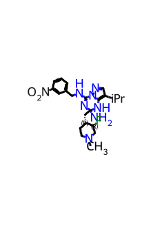 CC(C)c1cnn2c1NC(N)(C[C@H]1CCN(C)C[C@@H]1F)N=C2NCc1cccc([N+](=O)[O-])c1